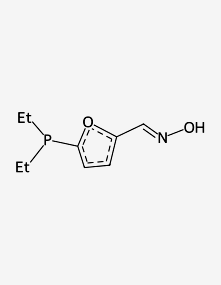 CCP(CC)c1ccc(C=NO)o1